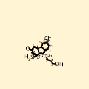 O=C1C=C2C(=[C]([Ti+2][CH2]CCO)c3ccccc32)C2=C1[SiH2]2.[Cl-].[Cl-]